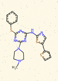 CN1CCN(c2nc(Nc3ncc(-c4cccs4)s3)nc(Sc3ccccc3)n2)CC1